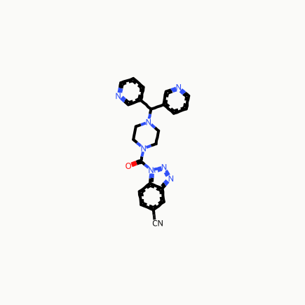 N#Cc1ccc2c(c1)nnn2C(=O)N1CCN(C(c2cccnc2)c2cccnc2)CC1